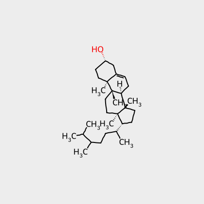 CC(C)C(C)CCC(C)[C@H]1CC[C@@]2(C)[C@@H]3CC=C4C[C@@H](O)CC[C@]4(C)[C@@]3(C)CC[C@]12C